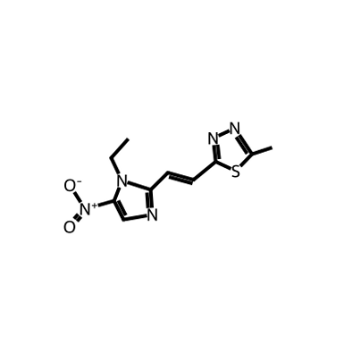 CCn1c([N+](=O)[O-])cnc1/C=C/c1nnc(C)s1